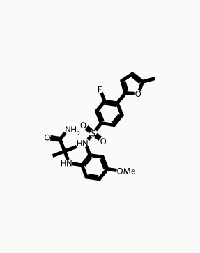 COc1ccc(NC(C)(C)C(N)=O)c(NS(=O)(=O)c2ccc(-c3ccc(C)o3)c(F)c2)c1